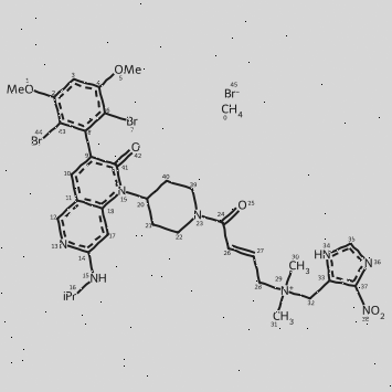 C.COc1cc(OC)c(Br)c(-c2cc3cnc(NC(C)C)cc3n(C3CCN(C(=O)/C=C/C[N+](C)(C)Cc4[nH]cnc4[N+](=O)[O-])CC3)c2=O)c1Br.[Br-]